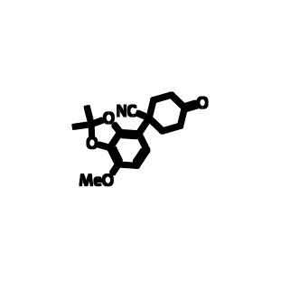 COc1ccc(C2(C#N)CCC(=O)CC2)c2c1OC(C)(C)O2